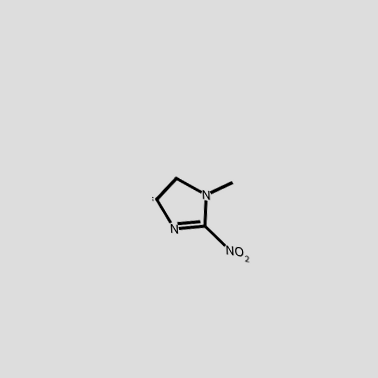 CN1C[C]N=C1[N+](=O)[O-]